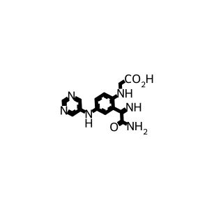 N=C(C(N)=O)c1cc(Nc2cncnc2)ccc1NCC(=O)O